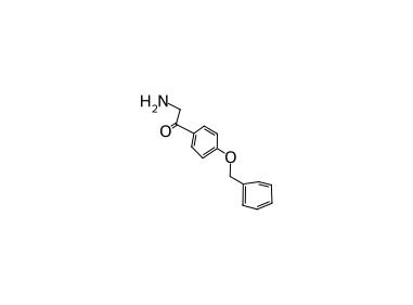 NCC(=O)c1ccc(OCc2ccccc2)cc1